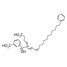 O=C(O)CCS[C@H](/C=C/C=C\CCCCCCCCCCc1ccccc1)[C@@H](O)c1cccc(C(=O)O)c1